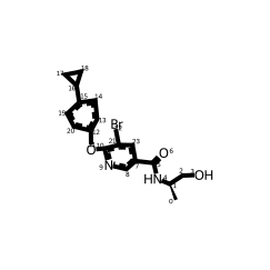 C[C@H](CO)NC(=O)c1cnc(Oc2ccc(C3CC3)cc2)c(Br)c1